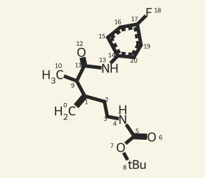 C=C(CCNC(=O)OC(C)(C)C)C(C)C(=O)Nc1ccc(F)cc1